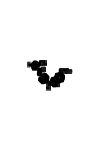 COc1ccc2ncc(NC3CCN(CC(=O)N4C[C@@H](F)CC4C#N)CC3)cc2c1